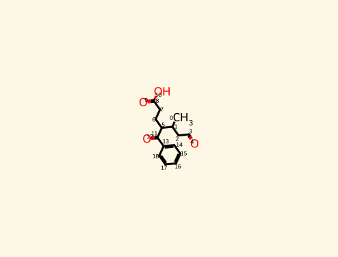 CC(CC=O)C(CCC(=O)O)C(=O)c1ccccc1